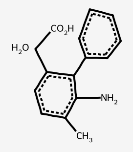 Cc1ccc(CC(=O)O)c(-c2ccccc2)c1N.O